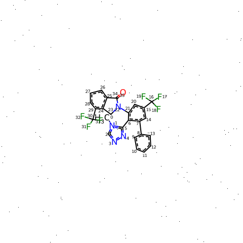 Cn1cnnc1-c1c(-c2ccccc2)cc(C(F)(F)F)cc1N1Cc2c(cccc2C(F)(F)F)C1=O